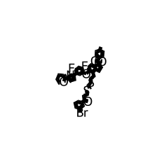 Cc1ccc(S(=O)(=O)n2ccc3c(CCSCCSCCC(=O)c4cccc(Br)c4)c(Oc4ccc(F)c(-c5ccn(C6CCCCO6)n5)c4)c(F)cc32)cc1